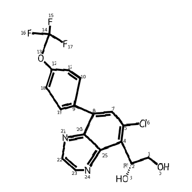 OC[C@H](O)c1c(Cl)cc(-c2ccc(OC(F)(F)F)cc2)c2nccnc12